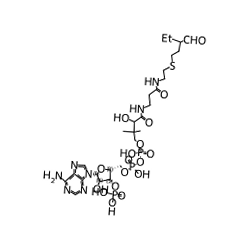 CCC(C=O)CCSCCNC(=O)CCNC(=O)C(O)C(C)(C)COP(=O)(O)OP(=O)(O)OC[C@H]1O[C@@H](n2cnc3c(N)ncnc32)[C@H](O)[C@@H]1OP(=O)(O)O